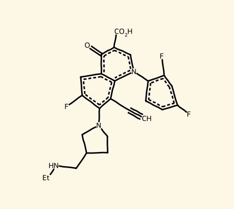 C#Cc1c(N2CCC(CNCC)C2)c(F)cc2c(=O)c(C(=O)O)cn(-c3ccc(F)cc3F)c12